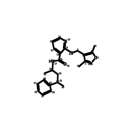 Cc1noc(C)c1CSc1ncccc1C(=O)NC(C)CN(C)c1ccccc1